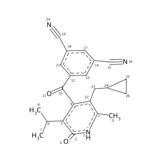 Cc1[nH]c(=O)c(C(C)C)c(C(=O)c2cc(C#N)cc(C#N)c2)c1CC1CC1